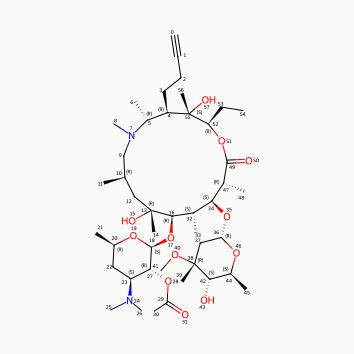 C#CCC[C@@H]1[C@@H](C)N(C)C[C@H](C)C[C@@](C)(O)[C@H](O[C@@H]2O[C@H](C)C[C@H](N(C)C)[C@H]2OC(C)=O)[C@@H](C)[C@H](O[C@H]2C[C@@](C)(OC)[C@@H](O)[C@H](C)O2)[C@@H](C)C(=O)O[C@H](CC)[C@@]1(C)O